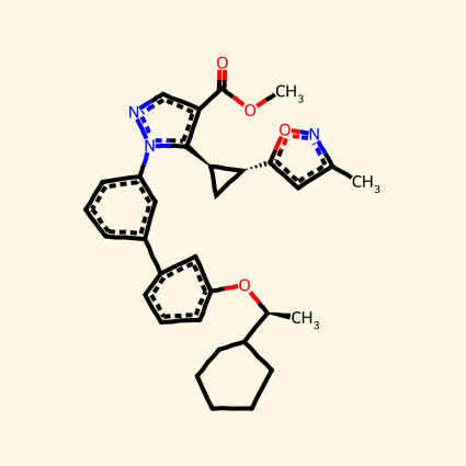 COC(=O)c1cnn(-c2cccc(-c3cccc(O[C@@H](C)C4CCCCC4)c3)c2)c1[C@@H]1C[C@H]1c1cc(C)no1